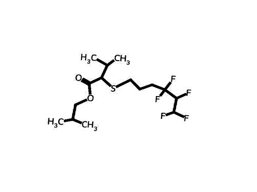 CC(C)COC(=O)C(SCCCC(F)(F)C(F)C(F)F)C(C)C